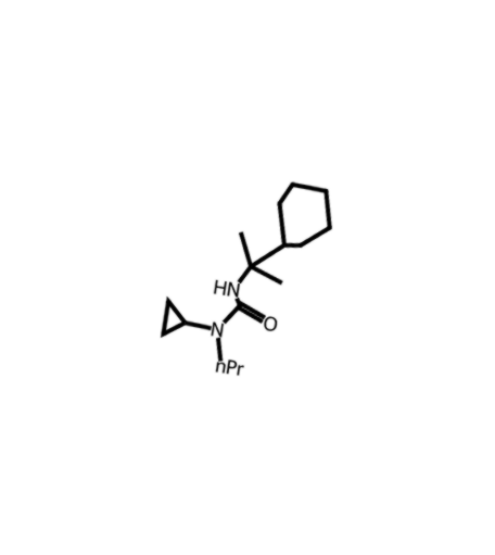 CCCN(C(=O)NC(C)(C)C1CCCCC1)C1CC1